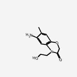 Cc1cc2c(cc1N)N(CCO)C(=O)CO2